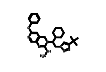 CC(C)(C)c1cn(CC(C2CCCCC2)N2Cc3cc(Oc4ccccc4)ncc3N=C2NN)nn1